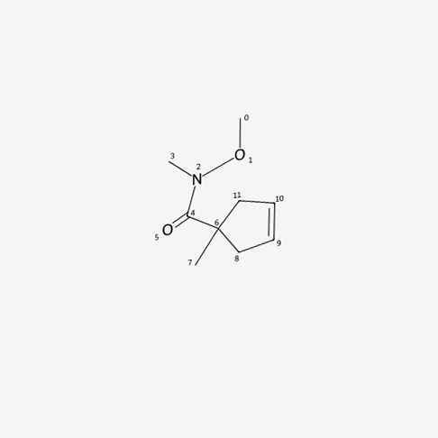 CON(C)C(=O)C1(C)CC=CC1